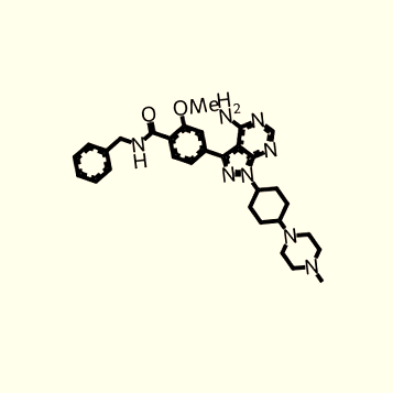 COc1cc(-c2nn(C3CCC(N4CCN(C)CC4)CC3)c3ncnc(N)c23)ccc1C(=O)NCc1ccccc1